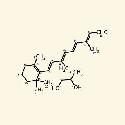 CC(O)CO.CC1=C(/C=C/C(C)=C/C=C/C(C)=C/C=O)C(C)(C)CCC1